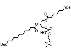 CCCCCCCCCCCCCCCCCCCC(=O)O[C@H](COC(=O)CCCCCCCCCCCCCCC)COP(=O)(O)OCC[N+](C)(C)C